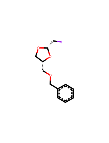 IC[C@H]1OC[C@@H](COCc2ccccc2)O1